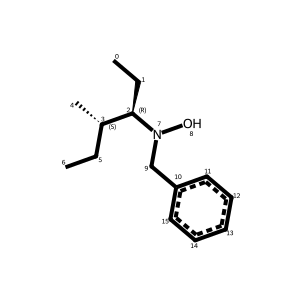 CC[C@H]([C@@H](C)CC)N(O)Cc1ccccc1